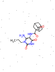 CCCn1c(N)c(NC(=O)C23CC4CC(C2)C(=O)C3C4)c(=O)[nH]c1=O